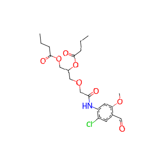 CCCC(=O)OCC(COCC(=O)Nc1cc(OC)c(C=O)cc1Cl)OC(=O)CCC